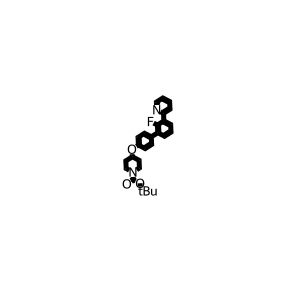 CC(C)(C)OC(=O)N1CCC(Oc2ccc(-c3cccc(-c4ccccn4)c3F)cc2)CC1